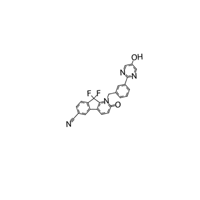 N#Cc1ccc2c(c1)-c1ccc(=O)n(Cc3cccc(-c4ncc(O)cn4)c3)c1C2(F)F